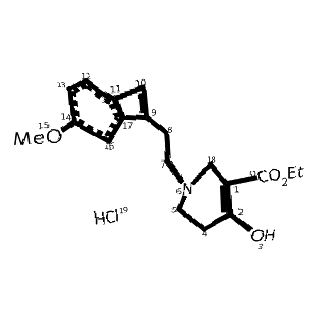 CCOC(=O)C1=C(O)CCN(CCC2=Cc3ccc(OC)cc32)C1.Cl